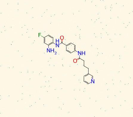 Nc1cc(F)ccc1NC(=O)c1ccc(NC(=O)CCCc2cccnc2)cc1